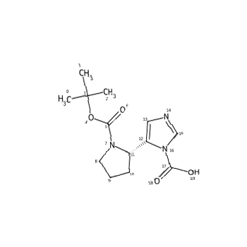 CC(C)(C)OC(=O)N1CCC[C@H]1c1cncn1C(=O)O